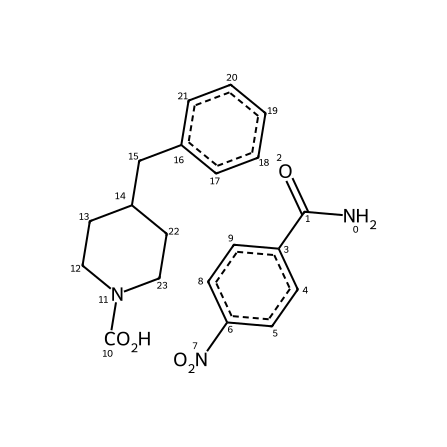 NC(=O)c1ccc([N+](=O)[O-])cc1.O=C(O)N1CCC(Cc2ccccc2)CC1